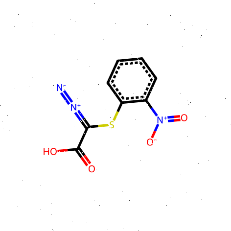 [N-]=[N+]=C(Sc1ccccc1[N+](=O)[O-])C(=O)O